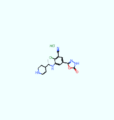 C[C@H](Nc1cc(-c2n[nH]c(=O)o2)cc(C#N)c1Cl)C1CCNCC1.Cl